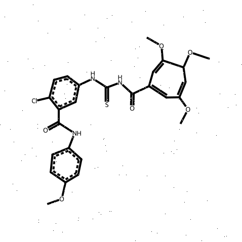 COC1=CC(OC)C(OC)=CC(C(=O)NC(=S)Nc2ccc(Cl)c(C(=O)Nc3ccc(OC)cc3)c2)=C1